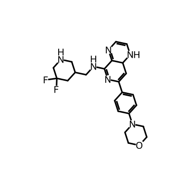 FC1(F)CNCC(CNC2=NC(c3ccc(N4CCOCC4)cc3)=CC3NC=CN=C23)C1